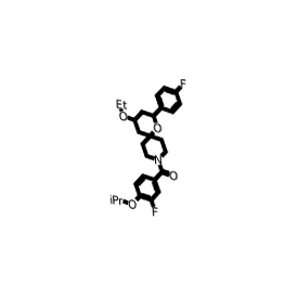 CCOC1CC(c2ccc(F)cc2)OC2(CCN(C(=O)c3ccc(OC(C)C)c(F)c3)CC2)C1